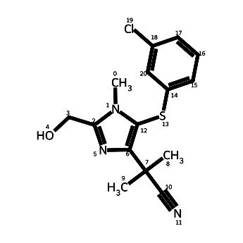 Cn1c(CO)nc(C(C)(C)C#N)c1Sc1cccc(Cl)c1